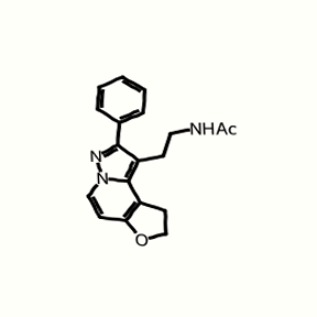 CC(=O)NCCc1c(-c2ccccc2)nn2ccc3c(c12)CCO3